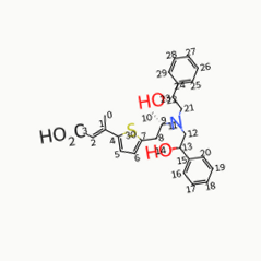 C/C(=C\C(=O)O)c1ccc(C[C@H](C)N(C[C@H](O)c2ccccc2)C[C@H](O)c2ccccc2)s1